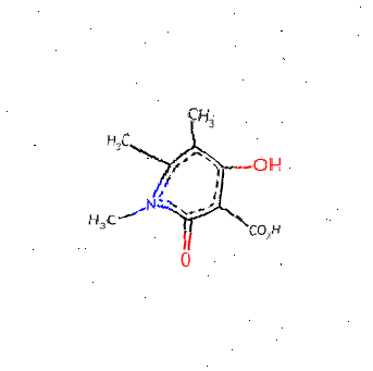 Cc1c(O)c(C(=O)O)c(=O)n(C)c1C